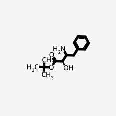 CC(C)(C)OC(=O)[C@H](O)C(N)Cc1ccccc1